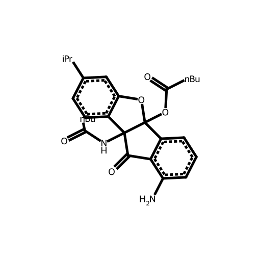 CCCCC(=O)NC12C(=O)c3c(N)cccc3C1(OC(=O)CCCC)Oc1cc(C(C)C)ccc12